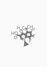 CN(C)c1c(F)c(F)c(F)c2c1c(=O)c(C(=O)O)cn2C1CC1